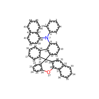 Cc1ccccc1N(c1cccc2c1-c1ccccc1C21c2ccccc2Oc2c1ccc1ccccc21)c1cccc2ccccc12